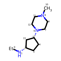 CCN[C@H]1CC[C@@H](N2CCN(C)CC2)C1